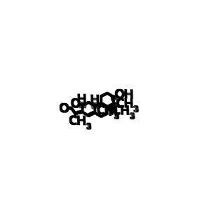 CC1=C2C=C3CC[C@@H]4C(C)(C)[C@H](O)CCC4(C)[C@@H]3C[C@H]2OC1=O